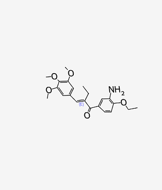 CCOc1ccc(C(=O)/C(=C/c2cc(OC)c(OC)c(OC)c2)CC)cc1N